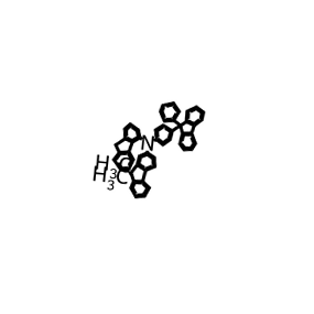 CC1(C)c2ccccc2-c2ccc(N(c3ccc(C4(c5ccccc5)c5ccccc5-c5ccccc54)cc3)c3cccc4c3-c3ccccc3C4)cc21